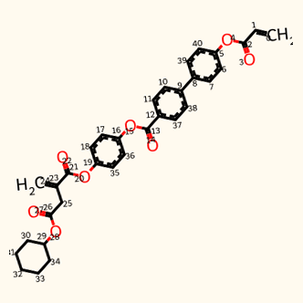 C=CC(=O)Oc1ccc(-c2ccc(C(=O)Oc3ccc(OC(=O)C(=C)CC(=O)OC4CCCCC4)cc3)cc2)cc1